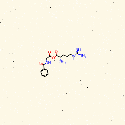 N=C(N)NCCC[C@H](N)C(=O)OC(=O)CNC(=O)c1ccccc1